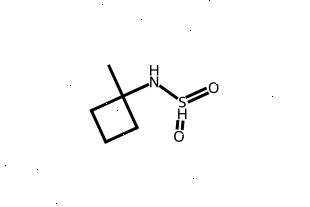 CC1(N[SH](=O)=O)CCC1